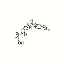 CN(CCO)C(=O)CNC(=O)c1ccc2c(c1)nc(Nc1nc3ccc(OC(F)(F)F)cc3s1)n2C